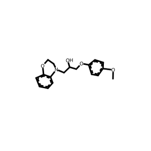 COc1ccc(OCC(O)CN2CCOc3ccccc32)cc1